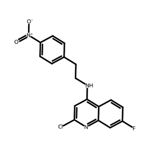 O=[N+]([O-])c1ccc(CCNc2cc(Cl)nc3cc(F)ccc23)cc1